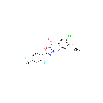 COc1cc(CN2N=C(c3ccc(C(F)(F)F)cc3F)OC2C=O)ccc1Cl